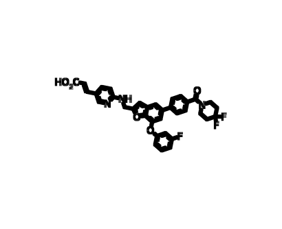 O=C(O)/C=C/c1ccc(NCc2cc3cc(-c4ccc(C(=O)N5CCC(F)(F)CC5)cc4)cc(Oc4cccc(F)c4)c3o2)nc1